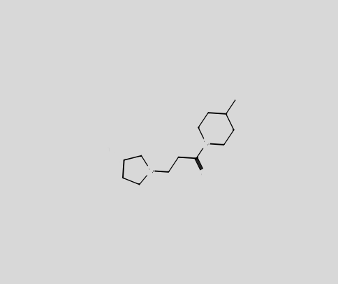 CC1CCN(C(=O)CCN2CC[C@H](C(C)C)C2)CC1